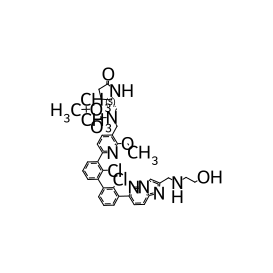 COc1nc(-c2cccc(-c3cccc(-c4ccc5nc(CNCCO)cn5n4)c3Cl)c2Cl)ccc1CN(C[C@@H]1CCC(=O)N1)C(=O)OC(C)(C)C